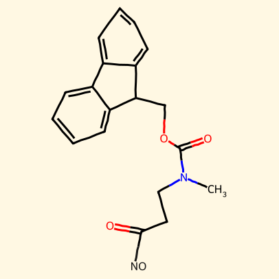 CN(CCC(=O)N=O)C(=O)OCC1c2ccccc2-c2ccccc21